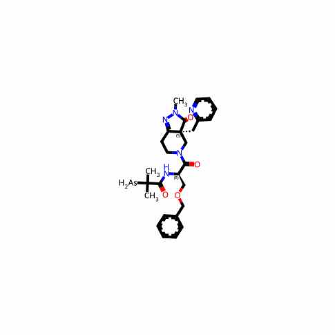 CN1N=C2CCN(C(=O)[C@@H](COCc3ccccc3)NC(=O)C(C)(C)[AsH2])C[C@]2(Cc2ccccn2)C1=O